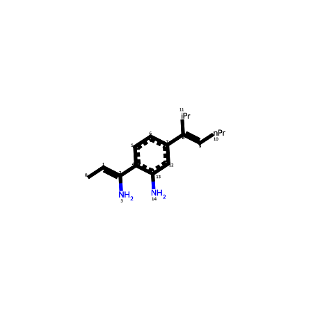 C/C=C(\N)c1ccc(/C(=C/CCC)C(C)C)cc1N